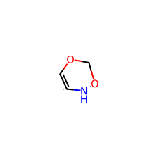 [C]1=COCON1